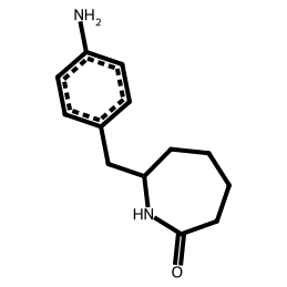 Nc1ccc(CC2CCCCC(=O)N2)cc1